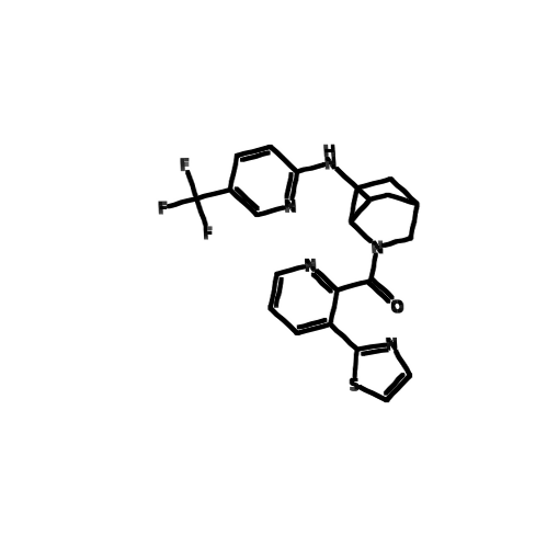 O=C(c1ncccc1-c1nccs1)N1CC2CCC1C(Nc1ccc(C(F)(F)F)cn1)C2